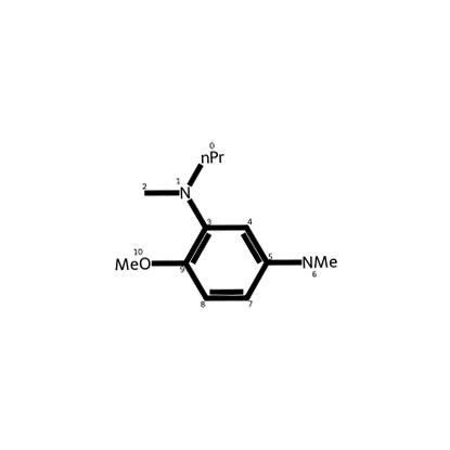 CCCN(C)c1cc(NC)ccc1OC